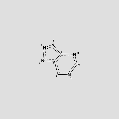 c1ncc2nnsc2n1